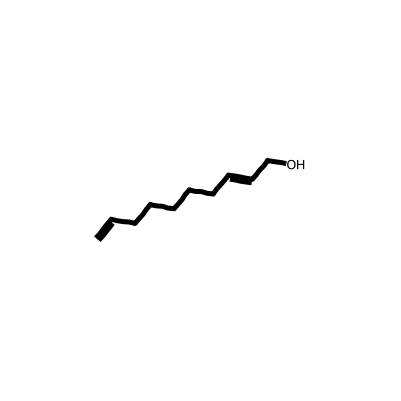 C=CCCCCC/C=C/CO